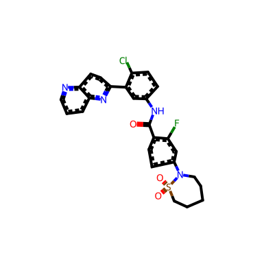 O=C(Nc1ccc(Cl)c(-c2ccc3ncccc3n2)c1)c1ccc(N2CCCCCS2(=O)=O)cc1F